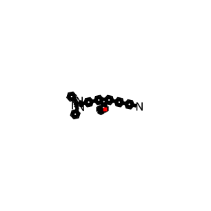 N#Cc1ccc(-c2ccc(-c3ccc4c(c3)C3(c5cc(-c6ccc(-c7nc(-c8ccccc8)nc(-c8ccccc8)n7)cc6)ccc5-4)C4CC5CC(C4)CC3C5)cc2)cc1